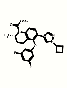 COC(=O)N1c2ccc(-c3cnn(C4CCC4)c3)c(Oc3cc(F)cc(F)c3)c2CC[C@@H]1C